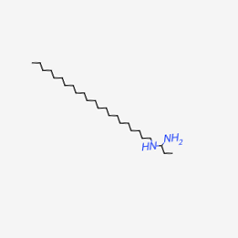 CCCCCCCCCCCCCCCCCCCCCCNC(N)CC